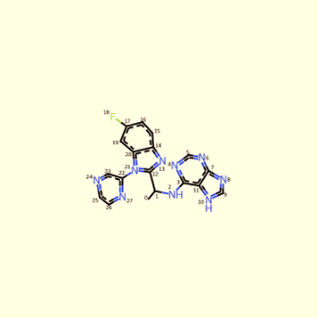 CC(Nc1ncnc2nc[nH]c12)c1nc2ccc(F)cc2n1-c1cnccn1